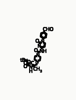 CC(C=O)(CN1CCN(C(=O)Nc2ccn(-c3ccc(C=O)cc3)c(=O)n2)CC1)NC(=O)OC(C)(C)C